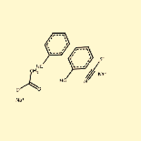 CC(=O)[O-].N#C[S-].Oc1ccccc1.Oc1ccccc1.[Na+].[Na+]